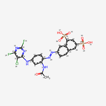 CC(=O)Nc1cc(Nc2nc(F)nc(F)c2Cl)ccc1/N=N/c1ccc2cc(S(=O)(=O)O)cc(S(=O)(=O)O)c2c1